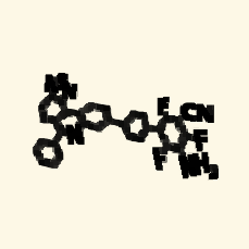 N#Cc1c(F)c(N)c(F)c(-c2ccc(-c3ccc4c(c3)nc(-c3ccccc3)c3ccc5nsnc5c34)cc2)c1F